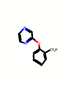 O=C(O)c1ccccc1Oc1cnccn1